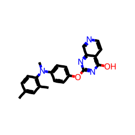 Cc1ccc(N(C)c2ccc(Oc3nc(O)c4ccncc4n3)cc2)c(C)c1